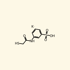 O=C(CS)Nc1cccc(S(=O)(=O)O)c1.[K]